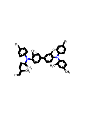 C=C(/C=C\C(C)=C/CC)N(c1ccc(C(C)C)cc1)c1ccc(-c2ccc(N(c3ccc(C(C)C)cc3)c3ccc(C)cc3C)c(C)c2)cc1C